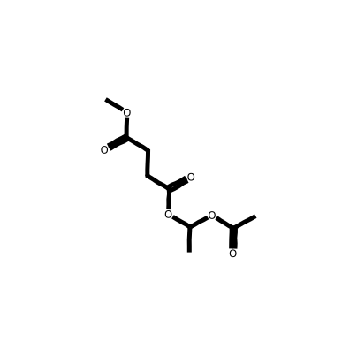 COC(=O)CCC(=O)OC(C)OC(C)=O